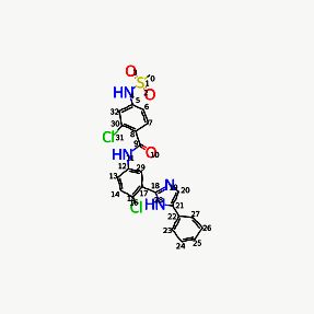 CS(=O)(=O)Nc1ccc(C(=O)Nc2ccc(Cl)c(-c3ncc(-c4ccccc4)[nH]3)c2)c(Cl)c1